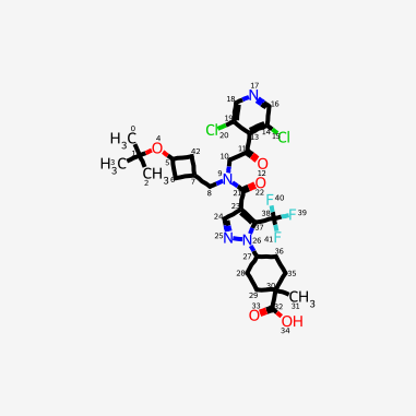 CC(C)(C)OC1CC(CN(CC(=O)c2c(Cl)cncc2Cl)C(=O)c2cnn(C3CCC(C)(C(=O)O)CC3)c2C(F)(F)F)C1